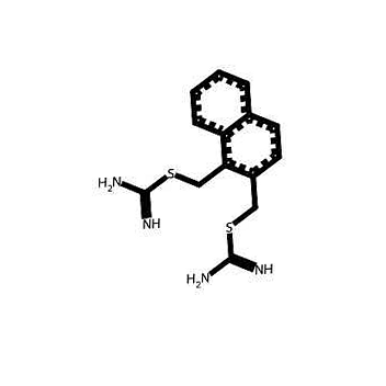 N=C(N)SCc1ccc2ccccc2c1CSC(=N)N